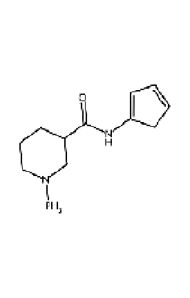 O=C(NC1=CC=CC1)C1CCCN(P)C1